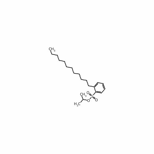 CCCCCCCCCCCCc1ccccc1S(=O)(=O)OC(C)C